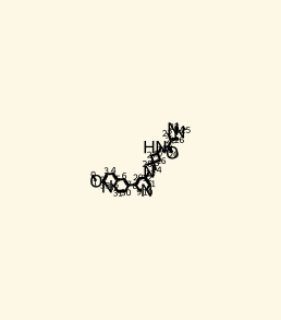 COc1ccc2cc(-c3cncc(N4CC5(CC(NC(=O)c6cnn(C)c6)C5)C4)c3)ccc2n1